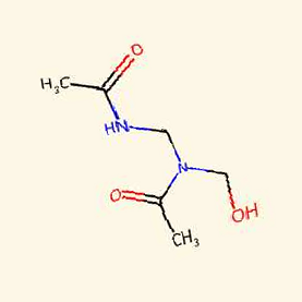 CC(=O)NCN(CO)C(C)=O